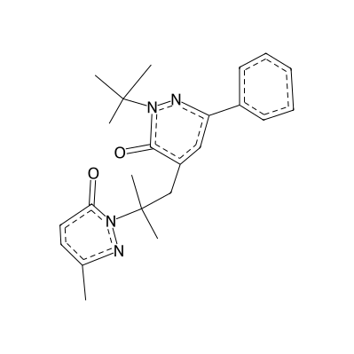 Cc1ccc(=O)n(C(C)(C)Cc2cc(-c3ccccc3)nn(C(C)(C)C)c2=O)n1